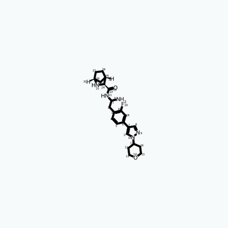 NC(Cc1ccc(-c2cnn(C3CCOCC3)c2)cc1F)NC(=O)[C@H]1N[C@@H]2CC[C@H]1C2